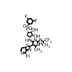 CCc1nccc2sc(-c3c(C)nc(N[C@H](C)C(F)(F)F)nc3N[C@@H]3C[C@H](CS(=O)(=O)c4cc(F)cc(F)c4)[C@@H](O)[C@H]3O)nc12